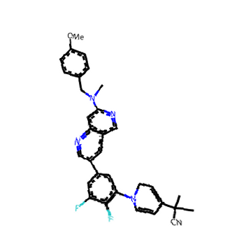 COc1ccc(CN(C)c2cc3ncc(-c4cc(F)c(F)c(N5C=CC(C(C)(C)C#N)=CC5)c4)cc3cn2)cc1